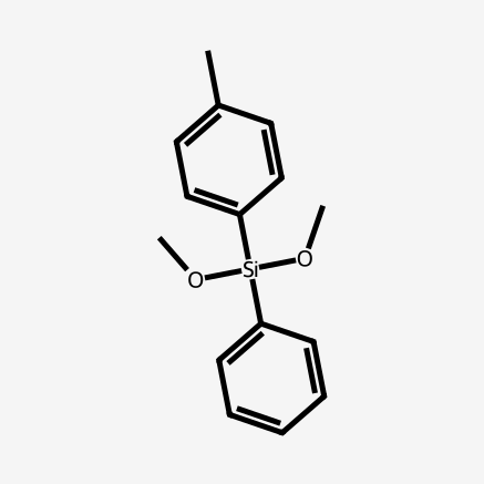 CO[Si](OC)(c1ccccc1)c1ccc(C)cc1